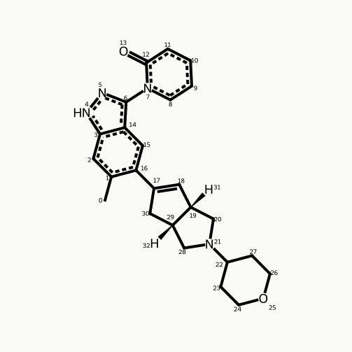 Cc1cc2[nH]nc(-n3ccccc3=O)c2cc1C1=C[C@@H]2CN(C3CCOCC3)C[C@@H]2C1